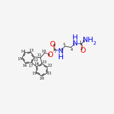 NC(=O)NCCNC(=O)OCC1c2ccccc2-c2ccccc21